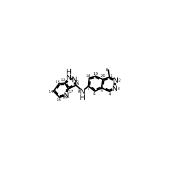 Cc1nncc2cc(Nc3n[nH]c4cccnc34)ccc12